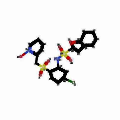 O=S(=O)(Cc1cccc[n+]1[O-])c1ccc(Cl)cc1NS(=O)(=O)c1cc2ccccc2o1